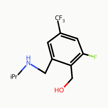 CC(C)NCc1cc(C(F)(F)F)cc(F)c1CO